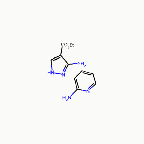 CCOC(=O)c1c[nH]nc1N.Nc1ccccn1